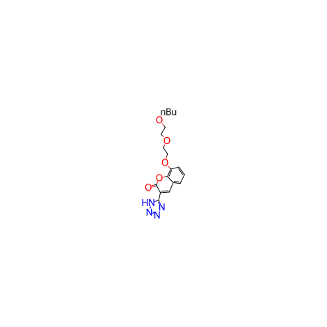 CCCCOCCOCCOc1cccc2cc(-c3nnn[nH]3)c(=O)oc12